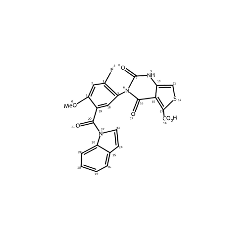 COc1cc(F)c(-n2c(=O)[nH]c3csc(C(=O)O)c3c2=O)cc1C(=O)n1ccc2ccccc21